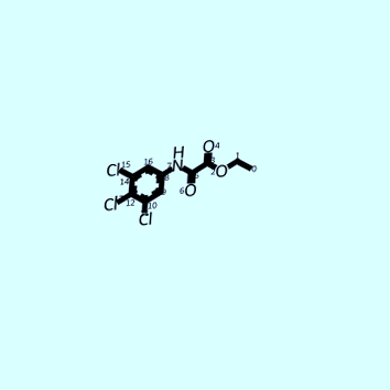 CCOC(=O)C(=O)Nc1cc(Cl)c(Cl)c(Cl)c1